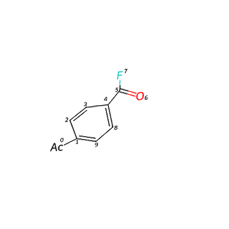 CC(=O)c1ccc(C(=O)F)cc1